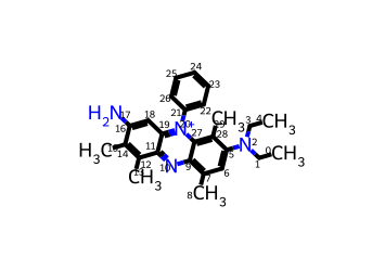 CCN(CC)c1cc(C)c2nc3c(C)c(C)c(N)cc3[n+](-c3ccccc3)c2c1C